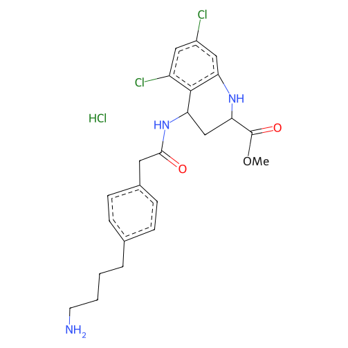 COC(=O)C1CC(NC(=O)Cc2ccc(CCCCN)cc2)c2c(Cl)cc(Cl)cc2N1.Cl